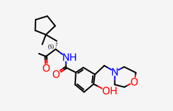 CC(=O)[C@H](CC1(C)CCCC1)NC(=O)c1ccc(O)c(CN2CCOCC2)c1